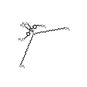 CCCCC1=C(c2ccc(CCCC)cc2)[N+](=[N-])C(c2ccc(CCCC)cc2)=C1CCCC.CCCCCCCCCCCCCCCCCCCCC[CH2][Ni][CH2]CCCCCCCCCCCCCCCCCCCCC